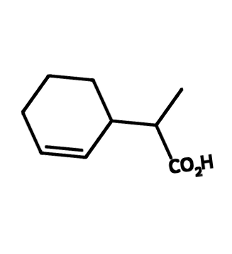 CC(C(=O)O)C1C=CCCC1